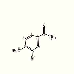 CC(C)COc1ccc(C(N)=S)cc1Br